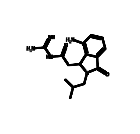 CC(C)CN1C(=O)c2cccc(N)c2C1CC(=O)NC(=N)N